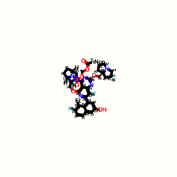 CCCCCCCCCC(=O)OCOC(=O)N1[C@@H]2CC[C@H]1[C@H]1COc3nc(-c4cc(O)cc5ccc(F)c(CC)c45)c(F)c4nc(OC[C@@]56CCCN5C[C@H](F)C6)nc(c34)N1C2